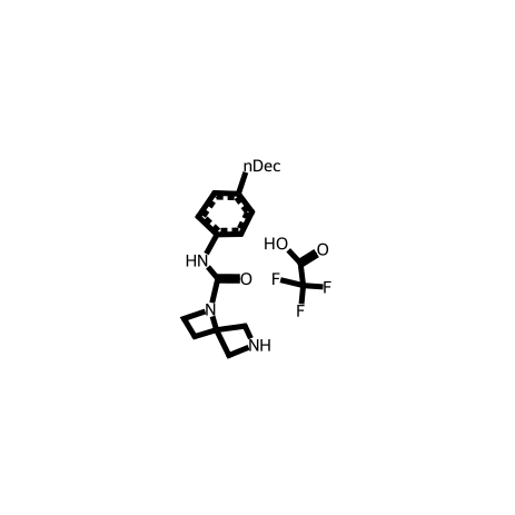 CCCCCCCCCCc1ccc(NC(=O)N2CCC23CNC3)cc1.O=C(O)C(F)(F)F